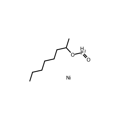 CCCCCCC(C)O[PH2]=O.[Ni]